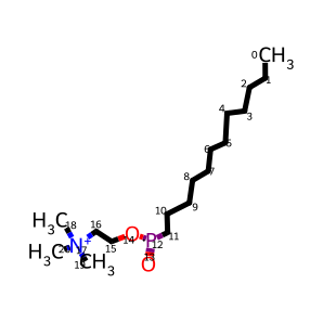 CCCCCCCCCCCC[P](=O)OCC[N+](C)(C)C